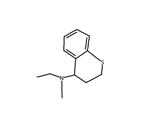 CCN(C)C1CCSc2ccccc21